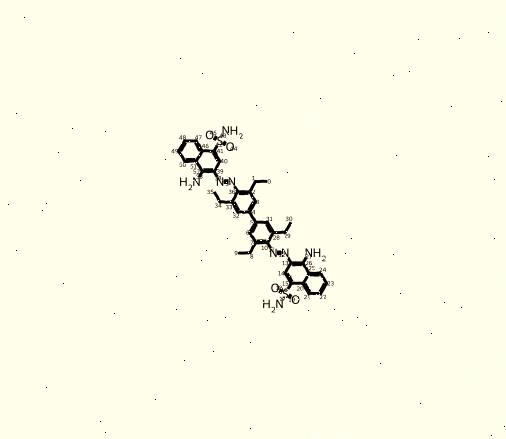 CCc1cc(-c2cc(CC)c(/N=N/c3cc(S(N)(=O)=O)c4ccccc4c3N)c(CC)c2)cc(CC)c1/N=N/c1cc(S(N)(=O)=O)c2ccccc2c1N